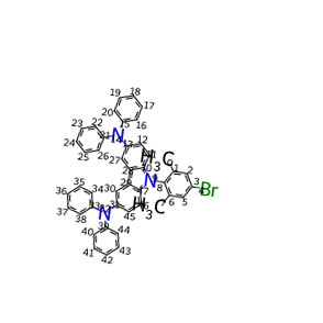 Cc1cc(Br)cc(C)c1-n1c2ccc(N(c3ccccc3)c3ccccc3)cc2c2cc(N(c3ccccc3)c3ccccc3)ccc21